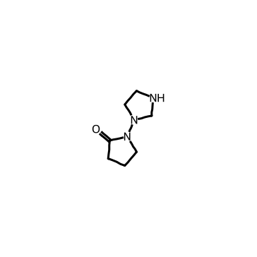 O=C1CCCN1N1CCNC1